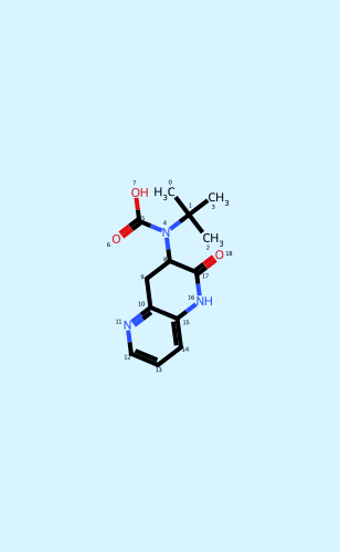 CC(C)(C)N(C(=O)O)C1Cc2ncccc2NC1=O